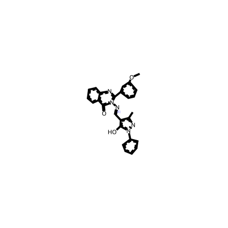 COc1cccc(-c2nc3ccccc3c(=O)n2/N=C/c2c(C)nn(-c3ccccc3)c2O)c1